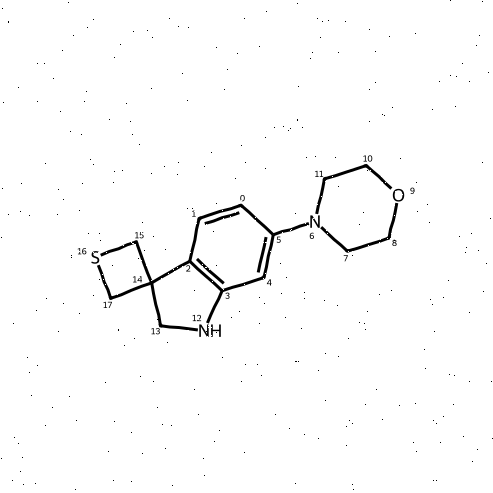 c1cc2c(cc1N1CCOCC1)NCC21CSC1